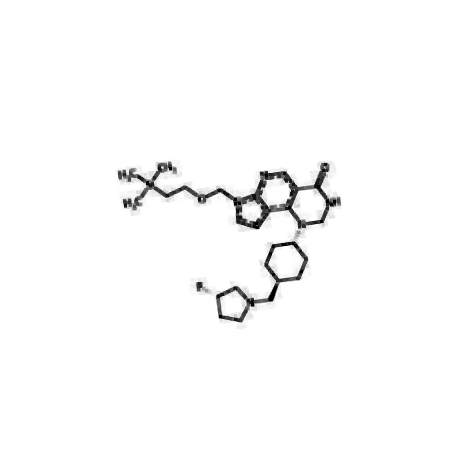 C[Si](C)(C)CCOCn1ccc2c3c(cnc21)C(=O)NCN3[C@H]1CC[C@H](CN2CC[C@H](F)C2)CC1